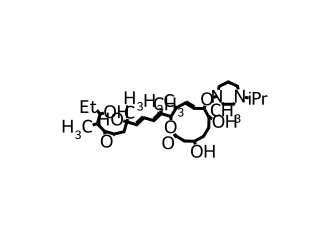 CCC(O)C(C)C1OC1CC(C)(O)/C=C/C=C(\C)C1OC(=O)CC(O)CCC(C)(O)C(ON2CCCN(C(C)C)CC2)/C=C/C1C